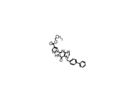 CCOC(=O)c1cnn(-c2nc3ncn(Cc4ccc(-c5ccccc5)cc4)c3c(=O)[nH]2)c1